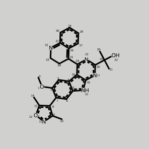 COc1cc2c(cc1-c1c(C)noc1C)[nH]c1nc(C(C)(C)O)nc(C3=c4ccccc4=NCC3)c12